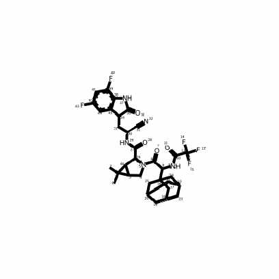 CC1(C)C2CN(C(=O)C(NC(=O)C(F)(F)F)C34CC5CC(CC(C5)C3)C4)C(C(=O)NC(C#N)CC3C(=O)Nc4c(F)cc(F)cc43)C21